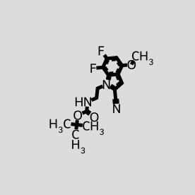 COc1cc(F)c(F)c2c1cc(C#N)n2CCNC(=O)OC(C)(C)C